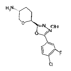 Cl.N[C@@H]1CC[C@@H](c2nnc(-c3ccc(Cl)c(F)c3)o2)OC1